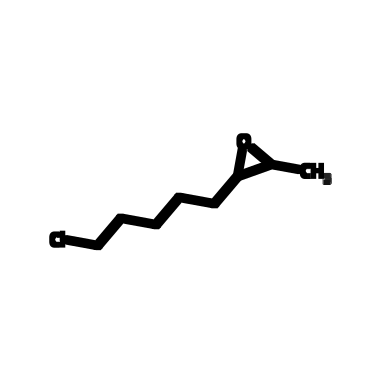 CC1OC1CCCCCCl